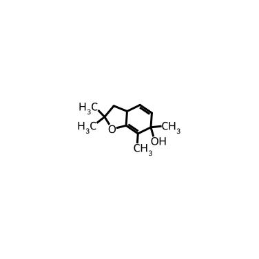 CC1=C2OC(C)(C)CC2C=CC1(C)O